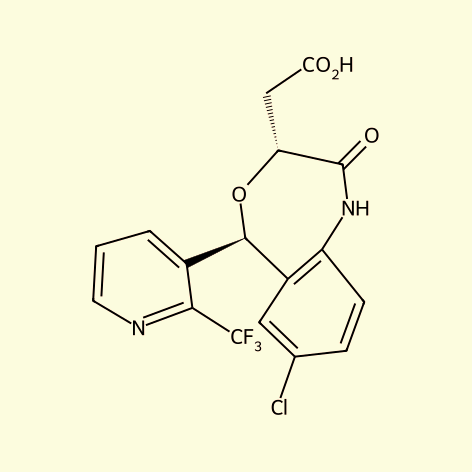 O=C(O)C[C@H]1O[C@H](c2cccnc2C(F)(F)F)c2cc(Cl)ccc2NC1=O